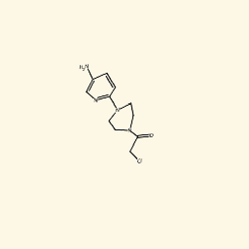 Nc1ccc(N2CCN(C(=O)CCl)CC2)nc1